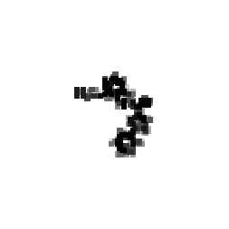 CCc1nccc(CNC(=O)c2cnc(-c3cccnc3)s2)n1